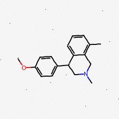 COc1ccc(C2CN(C)Cc3c(C)cccc32)cc1